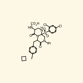 C1CCC1.CC(C)N1CC2(S(=O)(=O)c3ccc(Cl)cc3Cl)NCC(NC(=O)O)C(=O)N2C(Cc2ccc(F)cc2)C1=O